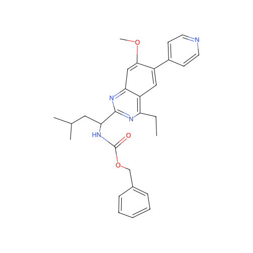 CCc1nc(C(CC(C)C)NC(=O)OCc2ccccc2)nc2cc(OC)c(-c3ccncc3)cc12